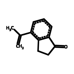 C=C(C)c1cccc2c1CCC2=O